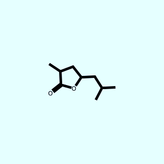 CC(C)CC1CC(C)C(=O)O1